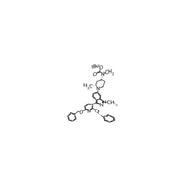 C[C@@H]1C[C@H](N(C)C(=O)OC(C)(C)C)CCN1c1ccc2c(-c3ccc(OCc4ccccc4)nc3OCc3ccccc3)nn(C)c2c1